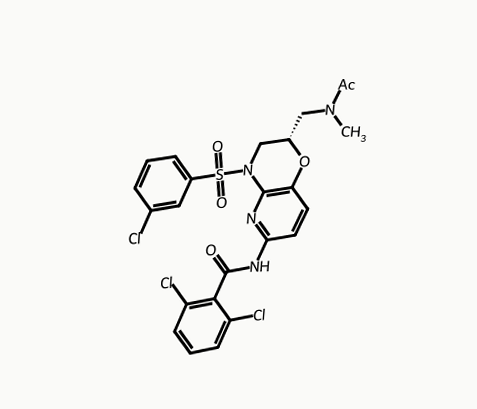 CC(=O)N(C)C[C@H]1CN(S(=O)(=O)c2cccc(Cl)c2)c2nc(NC(=O)c3c(Cl)cccc3Cl)ccc2O1